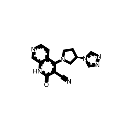 N#Cc1c(N2CC[C@@H](n3cnnc3)C2)c2ccncc2[nH]c1=O